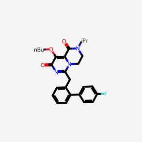 CCCCOc1c2n(c(Cc3ccccc3-c3ccc(F)cc3)nc1=O)CCN(C(C)C)C2=O